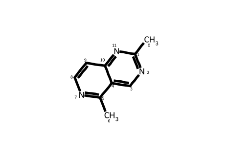 Cc1ncc2c(C)nccc2n1